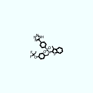 Cc1c(N(Cc2ccc(OC(F)(F)F)cc2)S(=O)(=O)c2ccc(-c3nnn[nH]3)cc2)sc2ccccc12